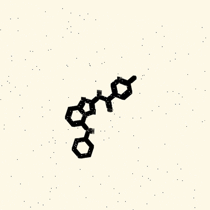 Cc1ccc(C(=O)Nc2nc3cccc(NC4CCCCC4)n3n2)cn1